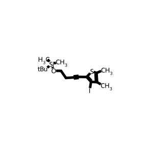 Cc1sc(C#CCCO[Si](C)(C)C(C)(C)C)c(I)c1C